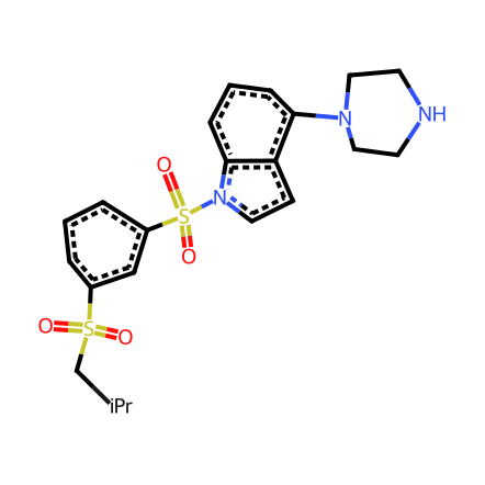 CC(C)CS(=O)(=O)c1cccc(S(=O)(=O)n2ccc3c(N4CCNCC4)cccc32)c1